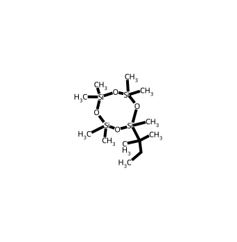 CCC(C)(C)[Si]1(C)O[Si](C)(C)O[Si](C)(C)O[Si](C)(C)O1